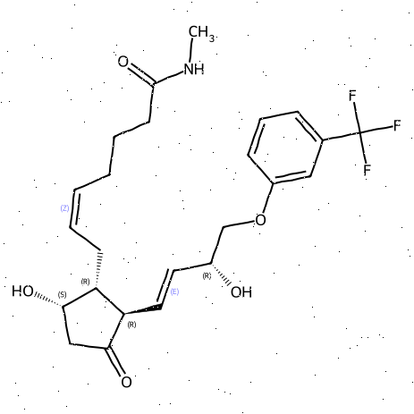 CNC(=O)CCC/C=C\C[C@H]1[C@@H](O)CC(=O)[C@@H]1/C=C/[C@@H](O)COc1cccc(C(F)(F)F)c1